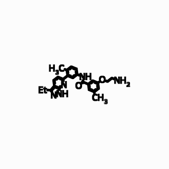 CCc1n[nH]c2nc(-c3cc(NC(=O)c4cc(C)cc(OCCN)c4)ccc3C)ccc12